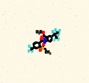 CCS(=O)(=O)c1cc(C(F)(F)F)ccc1C(=O)Nc1ccc(C(F)(C(F)(F)F)C(F)(F)F)cc1C(=O)OC